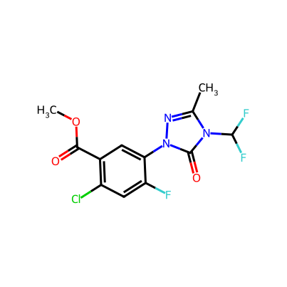 COC(=O)c1cc(-n2nc(C)n(C(F)F)c2=O)c(F)cc1Cl